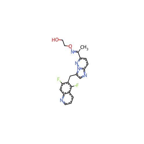 CC(=NOCCO)c1ccc2ncc(Cc3c(F)cc4ncccc4c3F)n2n1